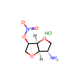 Cl.N[C@H]1CO[C@H]2[C@@H]1OC[C@H]2O[N+](=O)[O-]